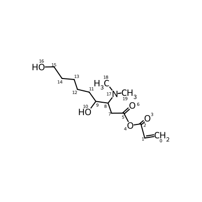 C=CC(=O)OC(=O)CC(C(O)CCCCCO)N(C)C